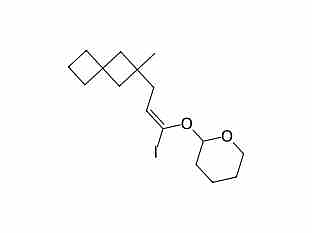 CC1(C/C=C(/I)OC2CCCCO2)CC2(CCC2)C1